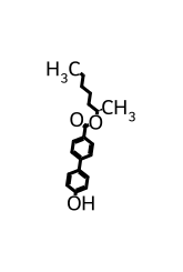 CCCCC[C@H](C)OC(=O)c1ccc(-c2ccc(O)cc2)cc1